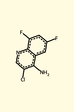 Nc1c(Cl)cnc2c(F)cc(F)cc12